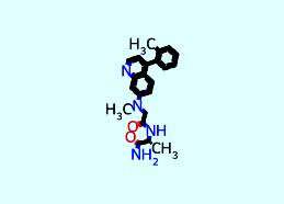 Cc1ccccc1-c1ccnc2cc(N(C)CC(=O)N[C@@H](C)C(N)=O)ccc12